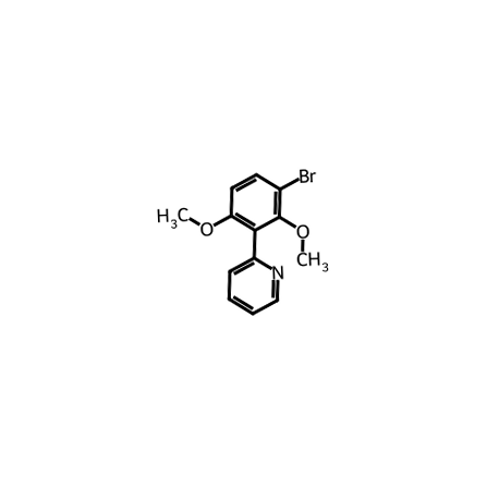 COc1ccc(Br)c(OC)c1-c1ccccn1